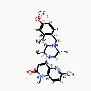 C[C@@H]1CN(c2cc(=O)n(C)c3ccc(C#N)nc23)[C@@H](C)CN1Cc1ccc(OC(F)(F)F)cc1C#N